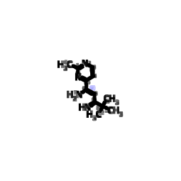 Cc1nccc(/C(N)=C/C(=N)C(C)(C)C)n1